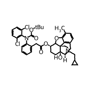 Cc1ccc2c3c1OC1[C@H](OC(=O)Cc4ccccc4N(C(=O)OC(C)(C)C)c4c(Cl)cccc4Cl)CC[C@@]4(O)[C@@H](C2)N(CC2CC2)CC[C@]314